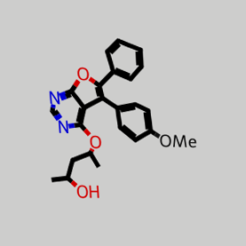 COc1ccc(-c2c(-c3ccccc3)oc3ncnc(OC(C)CC(C)O)c23)cc1